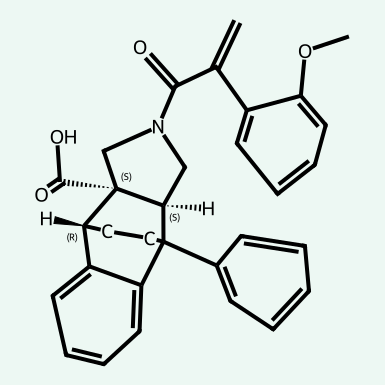 C=C(C(=O)N1C[C@H]2C3(c4ccccc4)CC[C@H](c4ccccc43)[C@@]2(C(=O)O)C1)c1ccccc1OC